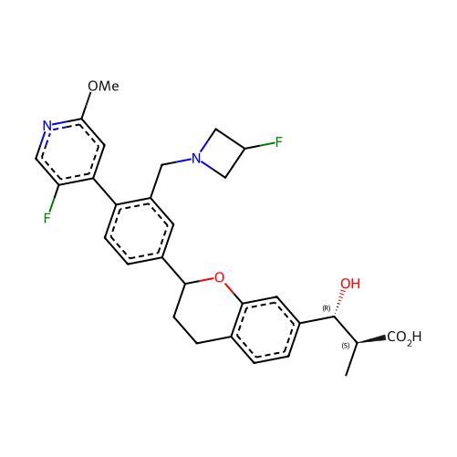 COc1cc(-c2ccc(C3CCc4ccc([C@H](O)[C@H](C)C(=O)O)cc4O3)cc2CN2CC(F)C2)c(F)cn1